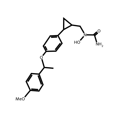 COc1ccc(C(C)Oc2ccc(C3CC3CN(O)C(N)=O)cc2)cc1